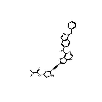 CN(C)C(=O)O[C@@H]1CN[C@H](C#Cc2cc3ncnc(Nc4ccc5c(cnn5Cc5ccccc5)c4)c3s2)C1